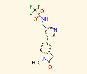 CN1C(=O)Cc2cc(-c3cncc(CNS(=O)(=O)C(F)(F)F)c3)ccc21